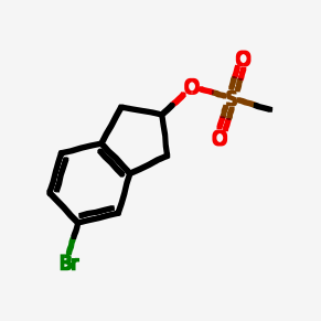 CS(=O)(=O)OC1Cc2ccc(Br)cc2C1